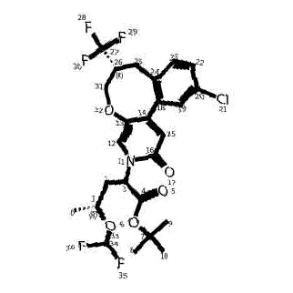 C[C@H](CC(C(=O)OC(C)(C)C)n1cc2c(cc1=O)-c1cc(Cl)ccc1C[C@@H](C(F)(F)F)CO2)OC(F)F